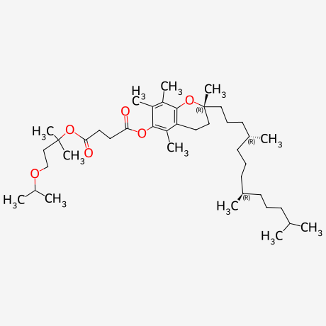 Cc1c(C)c2c(c(C)c1OC(=O)CCC(=O)OC(C)(C)CCOC(C)C)CC[C@@](C)(CCC[C@H](C)CCC[C@H](C)CCCC(C)C)O2